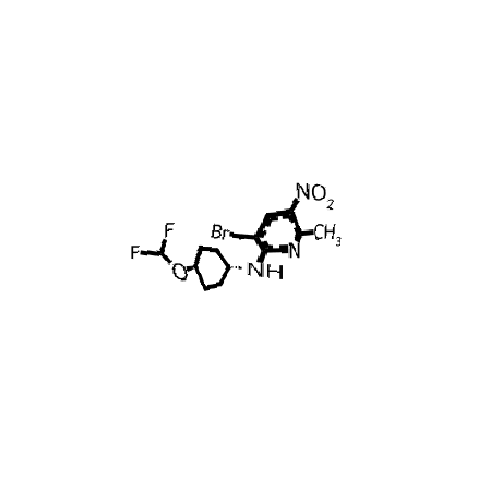 Cc1nc(N[C@H]2CC[C@H](OC(F)F)CC2)c(Br)cc1[N+](=O)[O-]